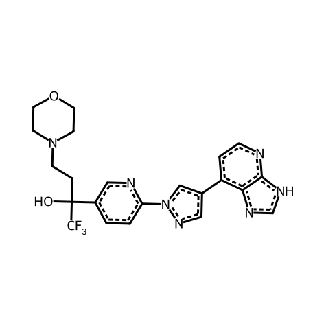 OC(CCN1CCOCC1)(c1ccc(-n2cc(-c3ccnc4[nH]cnc34)cn2)nc1)C(F)(F)F